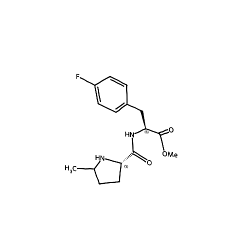 COC(=O)[C@H](Cc1ccc(F)cc1)NC(=O)[C@@H]1CCC(C)N1